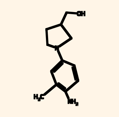 Cc1cc(N2CCC(CO)C2)ccc1N